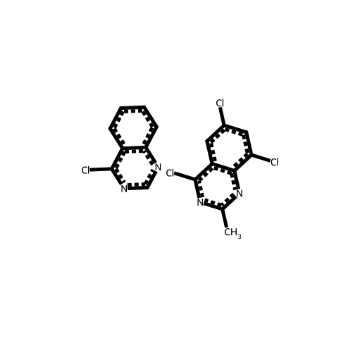 Cc1nc(Cl)c2cc(Cl)cc(Cl)c2n1.Clc1ncnc2ccccc12